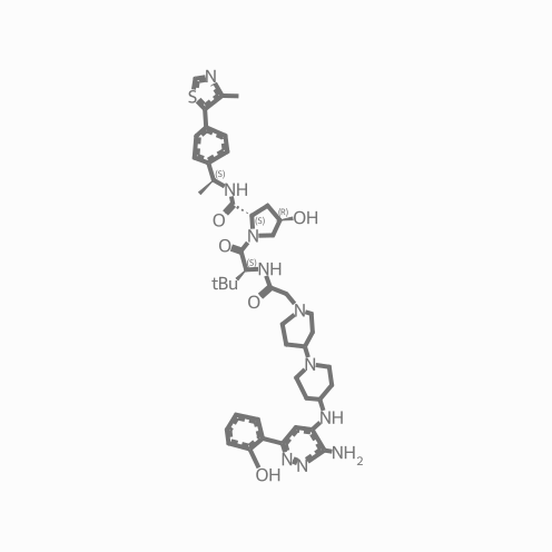 Cc1ncsc1-c1ccc([C@H](C)NC(=O)[C@@H]2C[C@@H](O)CN2C(=O)[C@@H](NC(=O)CN2CCC(N3CCC(Nc4cc(-c5ccccc5O)nnc4N)CC3)CC2)C(C)(C)C)cc1